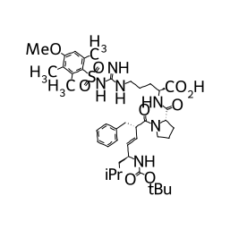 COc1cc(C)c(S(=O)(=O)NC(=N)NCCC[C@H](NC(=O)[C@@H]2CCCN2C(=O)[C@H](/C=C/[C@H](CC(C)C)NC(=O)OC(C)(C)C)Cc2ccccc2)C(=O)O)c(C)c1C